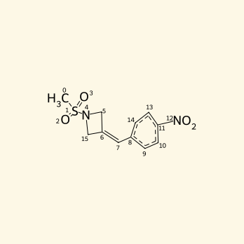 CS(=O)(=O)N1CC(=Cc2ccc([N+](=O)[O-])cc2)C1